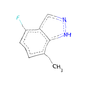 Cc1ccc(F)c2cn[nH]c12